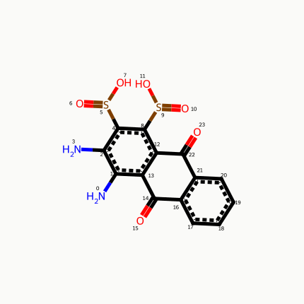 Nc1c(N)c(S(=O)O)c(S(=O)O)c2c1C(=O)c1ccccc1C2=O